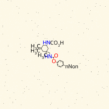 CCCCCCCCCc1ccc(OC(=O)NCC2(C)CC(NC(=O)O)CC(C)(C)C2)cc1